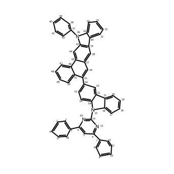 c1ccc(-c2cc(-c3ccccc3)nc(-n3c4ccccc4c4cc(-c5cc6cc7c8ccccc8n(-c8ccccc8)c7cc6c6ccccc56)ccc43)n2)cc1